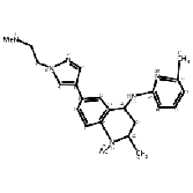 CNCCn1cc(-c2ccc3c(c2)C(Nc2cccc(C)n2)CC(C)N3C(C)=O)cn1